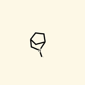 [CH2]N1CC2CCC1C2